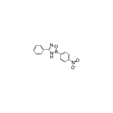 O=[N+]([O-])c1ccc(B2NC(c3ccccc3)=NO2)cc1